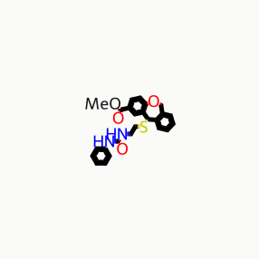 COC(=O)c1ccc2c(c1)C(SCCNC(=O)Nc1ccccc1)c1ccccc1CO2